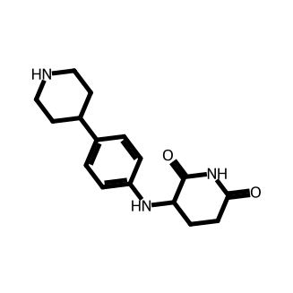 O=C1CCC(Nc2ccc(C3CCNCC3)cc2)C(=O)N1